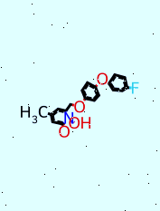 Cc1cc(COc2ccc(Oc3ccc(F)cc3)cc2)n(O)c(=O)c1